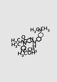 CC(C)n1c(=O)c2cnc(Nc3ccc4c(c3)CC(N(C)C)CC4)cc2n1-c1ccnc(C(C)(C)O)c1